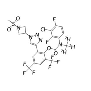 [2H]C([2H])([2H])N(C(=O)Oc1c(-c2cn(C3CN(S(C)(=O)=O)C3)nn2)cc(C(F)(F)F)cc1C(F)(F)F)c1ccc(F)c(Cl)c1F